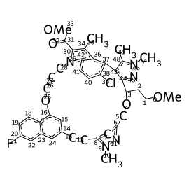 COCCC1OCc2cc(n(C)n2)CCc2cc(c3ccc(F)cc3c2)OCCCn2c(C(=O)OC)c(C)c3c(c(Cl)ccc32)-c2c1nn(C)c2C